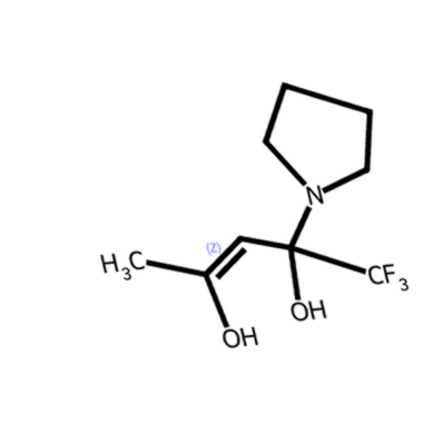 C/C(O)=C/C(O)(N1CCCC1)C(F)(F)F